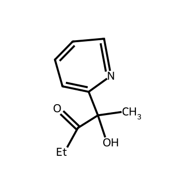 CCC(=O)C(C)(O)c1ccccn1